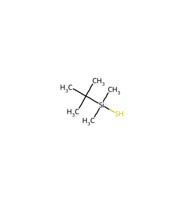 CC(C)(C)[Si](C)(C)S